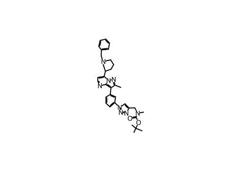 Cc1nn2c(C3CCCN(Cc4ccccc4)C3)ccnc2c1-c1cccc(-n2cc(CN(C)C(=O)OC(C)(C)C)nn2)c1